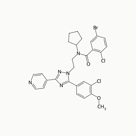 COc1ccc(-c2nc(-c3ccncc3)nn2CCN(C(=O)c2cc(Br)ccc2Cl)C2CCCC2)cc1Cl